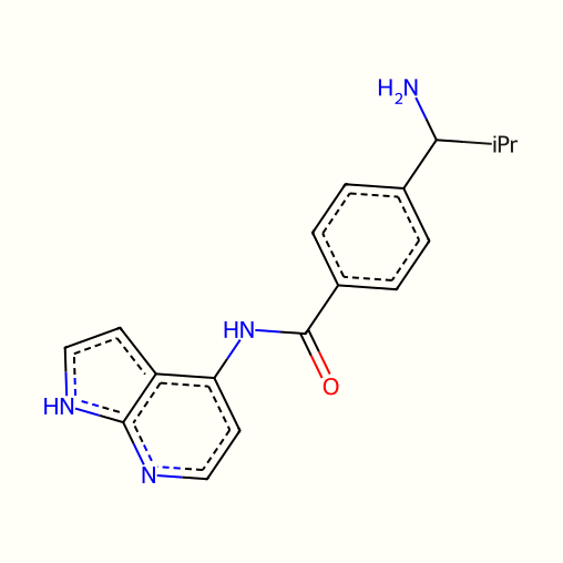 CC(C)C(N)c1ccc(C(=O)Nc2ccnc3[nH]ccc23)cc1